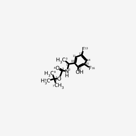 CC(NC(=O)OC(C)(C)C)c1cc(F)cc(F)c1O